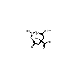 O=C([O-])CC(O)(CC(=O)O)C(=O)O.O=S(O)O.[Na+]